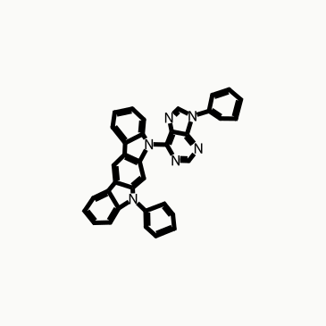 c1ccc(-n2cnc3c(-n4c5ccccc5c5cc6c7ccccc7n(-c7ccccc7)c6cc54)ncnc32)cc1